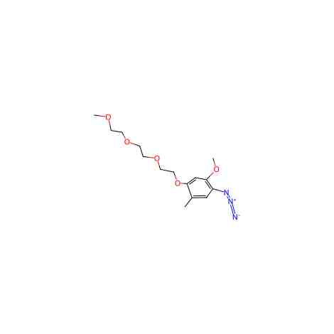 COCCOCCOCCOc1cc(OC)c(N=[N+]=[N-])cc1C